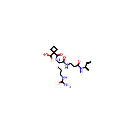 C=CC(=C)NC(=O)CCNC(=O)[C@H](CCCNC(N)=O)NC(=O)C1(C(=O)O)CCC1